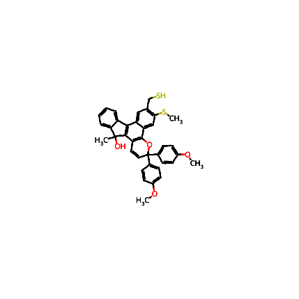 COc1ccc(C2(c3ccc(OC)cc3)C=Cc3c4c(c5cc(CS)c(SC)cc5c3O2)-c2ccccc2C4(C)O)cc1